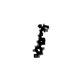 CCC(F)(F)COCc1cc(-c2ccc(Cl)cc2)no1